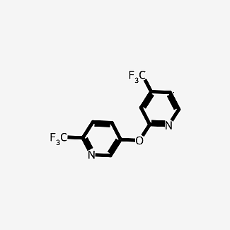 FC(F)(F)c1[c]cnc(Oc2ccc(C(F)(F)F)nc2)c1